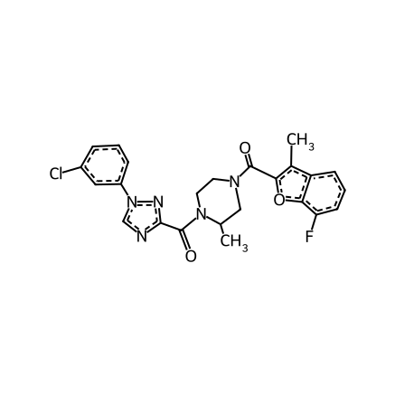 Cc1c(C(=O)N2CCN(C(=O)c3ncn(-c4cccc(Cl)c4)n3)C(C)C2)oc2c(F)cccc12